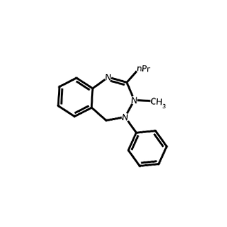 CCCC1=Nc2ccccc2CN(c2ccccc2)N1C